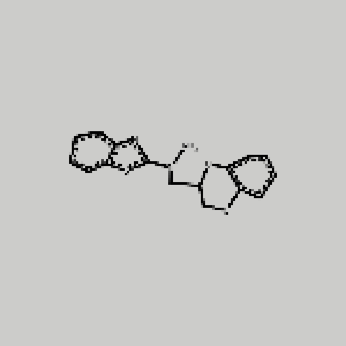 NN(CC1COc2ccccc2O1)c1nc2ccccc2s1